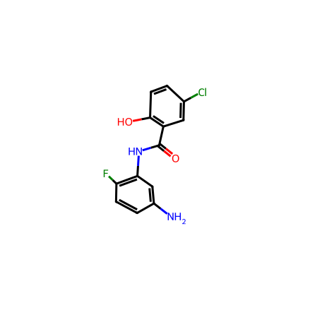 Nc1ccc(F)c(NC(=O)c2cc(Cl)ccc2O)c1